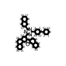 c1ccc(-c2ccc(-c3nc(-c4ccc5ccccc5c4)nc(-c4cc5ccc6ccccc6c5c5oc6c7ccccc7ccc6c45)n3)cc2)cc1